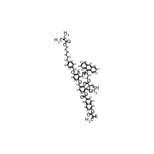 C=C(C)C(=O)OCCCCCCc1ccc(COc2ccc(OCc3ccc(OC(=O)c4ccc5cc(OC(=O)C(=C)F)ccc5c4)c(OC)c3)c(/C=N/N(CCOC(=O)CCS)c3c4ccccc4cc4ccccc34)c2F)cc1